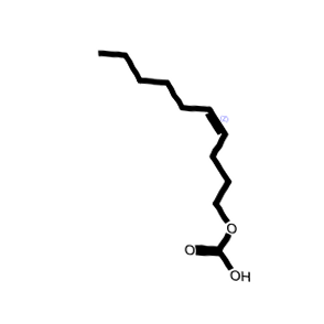 CCCCC/C=C\CCCOC(=O)O